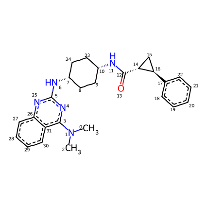 CN(C)c1nc(N[C@H]2CC[C@@H](NC(=O)[C@@H]3C[C@H]3c3ccccc3)CC2)nc2ccccc12